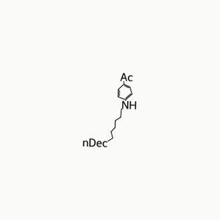 CCCCCCCCCCCCCCCCNc1ccc(C(C)=O)cc1